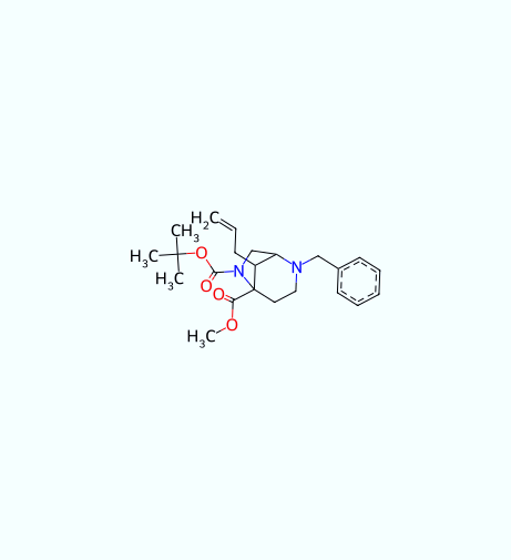 C=CCC1C2CN(C(=O)OC(C)(C)C)C1(C(=O)OC)CCN2Cc1ccccc1